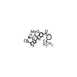 C=C(C)[C@@H]1CCCCN(C(=O)c2cc(OC)c3c(c2)nc(-c2cc4scc(C5COC5)c4n2CC2CC2)n3C)C1